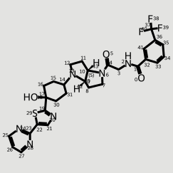 O=C(NCC(=O)N1CC[C@H]2[C@@H]1CCN2C1CCC(O)(c2ncc(-c3ncccn3)s2)CC1)c1cccc(C(F)(F)F)c1